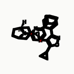 COC(=O)c1cncc(N2C3CC[C@H]2CC(OCc2c(-c4ccccc4C)noc2C2CC2)C3)n1